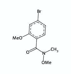 COc1cc(Br)ccc1C(=O)N(C)OC